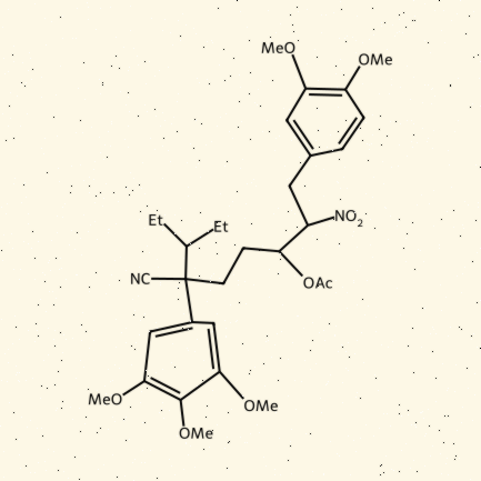 CCC(CC)C(C#N)(CCC(OC(C)=O)C(Cc1ccc(OC)c(OC)c1)[N+](=O)[O-])c1cc(OC)c(OC)c(OC)c1